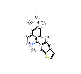 Cc1cc2ccsc2cc1-c1c2ccc([Si](C)(C)C)cc2cc[n+]1C